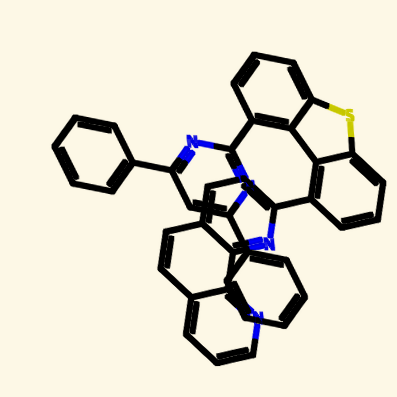 c1ccc(-c2cc(-c3ccccc3)nc(-c3cccc4sc5cccc(-c6ccc7ccc8cccnc8c7n6)c5c34)n2)cc1